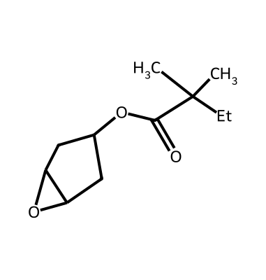 CCC(C)(C)C(=O)OC1CC2OC2C1